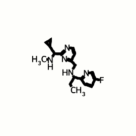 CCC(NCc1ccnc(C(NC)C2CC2)n1)c1ccc(F)cn1